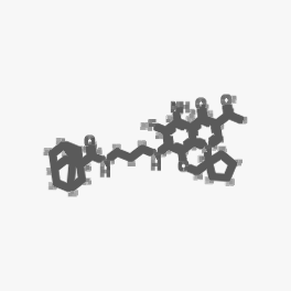 CC(=O)c1cn2c3c(c(NCCCNC(=O)C45CC6CC(CC(C6)C4)C5)c(F)c(N)c3c1=O)OCC21CCCC1